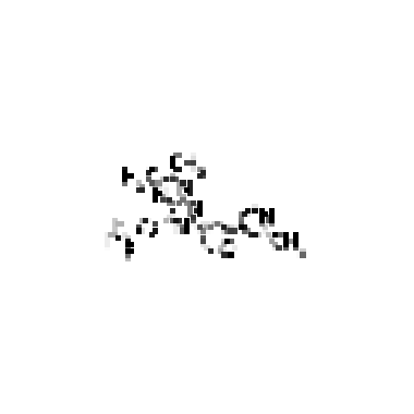 Cc1cc([C@@H]2C[C@@H](c3nc4nc(C)c(C)nc4c([C@H]4C[C@@H](C(F)(F)F)C4)n3)CCO2)ccn1